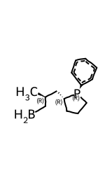 BC[C@@H](C)C[C@H]1CCC[P@]1c1ccccc1